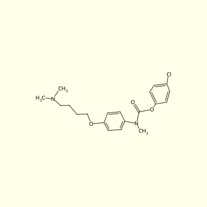 CN(C)CCCCOc1ccc(N(C)C(=O)Oc2ccc(Cl)cc2)cc1